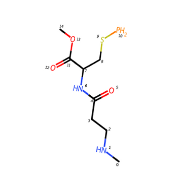 CNCCC(=O)NC(CSP)C(=O)OC